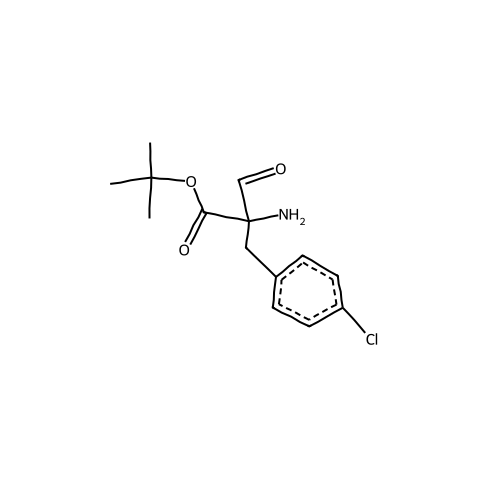 CC(C)(C)OC(=O)C(N)(C=O)Cc1ccc(Cl)cc1